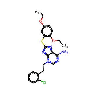 CCOc1ccc(OCC)c(Sc2nc3c(N)ncn(CCc4ccccc4Cl)c-3n2)c1